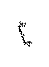 CC(C)(CCCCC[S+]([O-])CCCCCC(C)(C)OP(=O)(O)O)OP(=O)(O)O